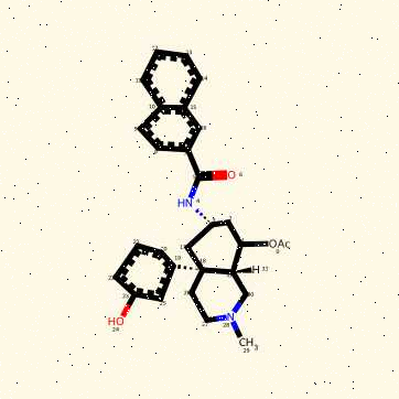 CC(=O)OC1C[C@@H](NC(=O)c2ccc3ccccc3c2)C[C@]2(c3cccc(O)c3)CCN(C)C[C@@H]12